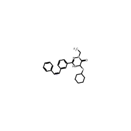 O=C1C(SC2CCCCC2)NC(c2cccc(/C=C\c3ccccc3)c2)=NN1CC(F)(F)F